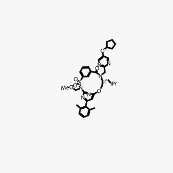 COCN1c2nc(cc(-c3c(C)cccc3C)n2)OC[C@@H](CC(C)C)N(Cc2ncc(OC3CCCC3)cn2)C(=O)c2cccc(c2)S1(=O)=O